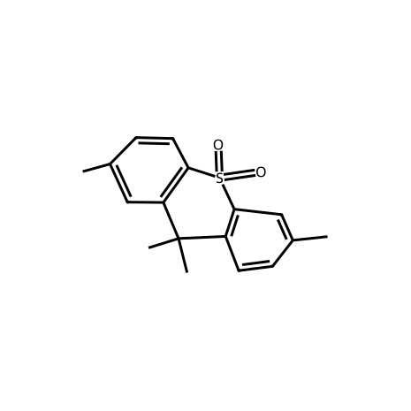 Cc1ccc2c(c1)C(C)(C)c1ccc(C)cc1S2(=O)=O